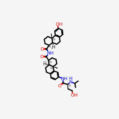 CC(C)N[C@@H](CCO)C(=O)Nc1ccc2c(c1)[C@@]1(C)CCC[C@](C)(C(=O)NC(=O)[C@@]3(C)CCC[C@]4(C)c5cc(O)ccc5CC[C@@H]34)[C@@H]1CC2